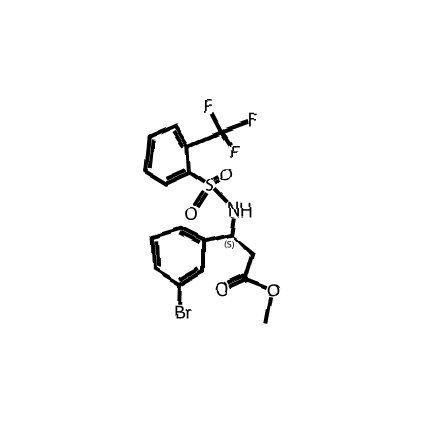 COC(=O)C[C@H](NS(=O)(=O)c1ccccc1C(F)(F)F)c1cccc(Br)c1